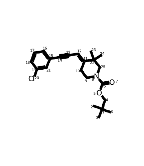 CC(C)(C)COC(=O)N1CC/C(=C\C#Cc2cccc(Cl)c2)C(C)(C)C1